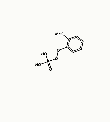 COc1ccccc1OOP(=O)(O)O